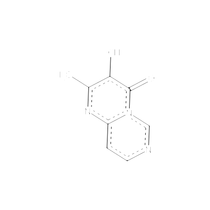 Cc1nc2ccncn2c(=O)c1C